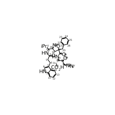 CC(C)[C@H](NC(=O)CCc1c[nH]c2ccccc12)C1=NOC(Cc2ccccc2)(C(=O)N[C@@H](CC(=O)O)C(=O)C=[N+]=[N-])C1